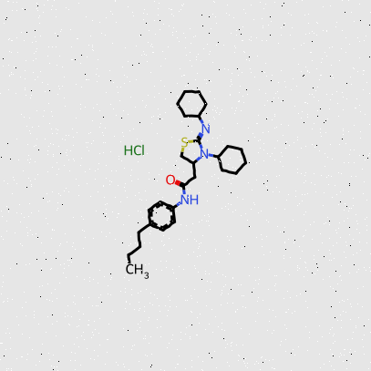 CCCCc1ccc(NC(=O)CC2CSC(=NC3CCCCC3)N2C2CCCCC2)cc1.Cl